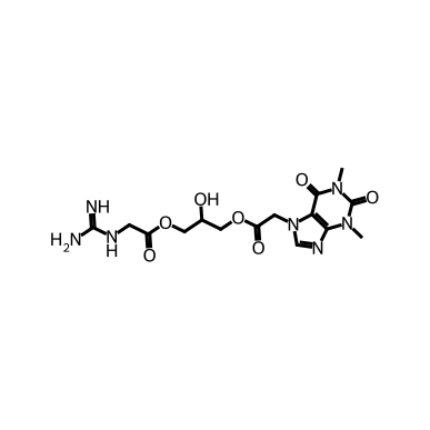 Cn1c(=O)c2c(ncn2CC(=O)OCC(O)COC(=O)CNC(=N)N)n(C)c1=O